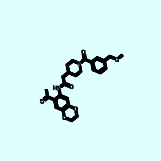 COCc1cccc(C(=O)N2CCC(CC(=O)Nc3cc4c(cc3C(C)=O)OCCO4)CC2)c1